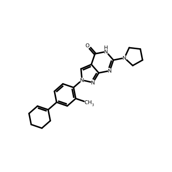 Cc1cc(C2=CCCCC2)ccc1-n1cc2c(=O)[nH]c(N3CCCC3)nc2n1